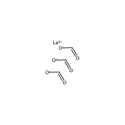 O=C[O-].O=C[O-].O=C[O-].[La+3]